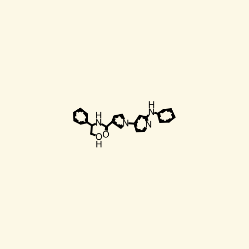 O=C(NC(CO)c1ccccc1)c1ccn(-c2ccnc(Nc3ccccc3)c2)c1